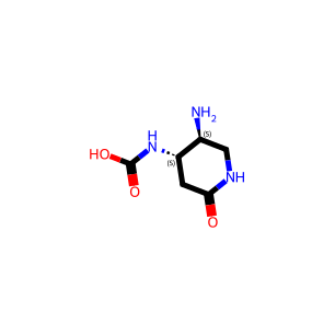 N[C@H]1CNC(=O)C[C@@H]1NC(=O)O